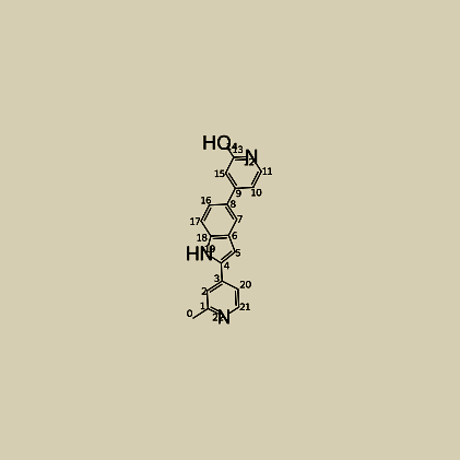 Cc1cc(-c2cc3cc(-c4ccnc(O)c4)ccc3[nH]2)ccn1